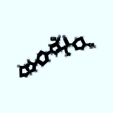 CC(C)N(c1nn(-c2ccc(-c3cn4ccsc4n3)cc2)cc1C(=O)O)C(=O)[C@H]1CC[C@H](C)CC1